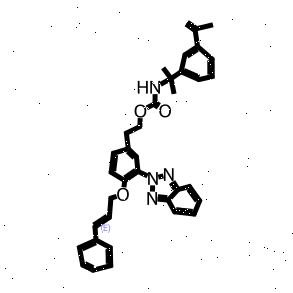 C=C(C)c1cccc(C(C)(C)NC(=O)OCCc2ccc(OC/C=C/c3ccccc3)c(-n3nc4ccccc4n3)c2)c1